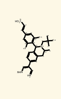 CN/C=C(\C=N)c1ccc2c(c1)CC(C)N(CC(C)(C)F)C2c1c(F)cc(/C=C/C(=O)O)cc1F